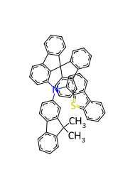 CC1(C)c2ccccc2-c2ccc(N(c3cccc4c3C3(c5ccccc5-c5ccccc53)c3ccccc3-4)c3cccc4c3sc3ccccc34)cc21